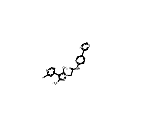 Cc1nn(CC(=O)Nc2ccc(-c3cnccn3)cn2)c(C)c1-c1ccnc(F)c1